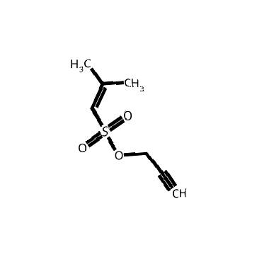 C#CCOS(=O)(=O)C=C(C)C